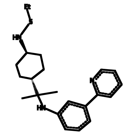 CCSN[C@H]1CC[C@H](C(C)(C)Nc2cccc(-c3ccccn3)c2)CC1